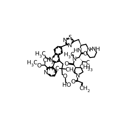 C=CC(=O)N1CC[C@H](C(=O)N(C)[C@H](C(=O)N[C@@H](Cc2nc(-c3ccc4c(c3)c(CC(C)(C)COCO)c(-c3cccnc3[C@H](C)OC)n4CC)ns2)CN2CCCCN2)C(C)C)C1